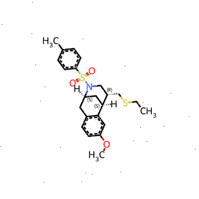 CCSC[C@H]1CN(S(=O)(=O)c2ccc(C)cc2)[C@@H]2Cc3ccc(OC)cc3[C@H]1C2